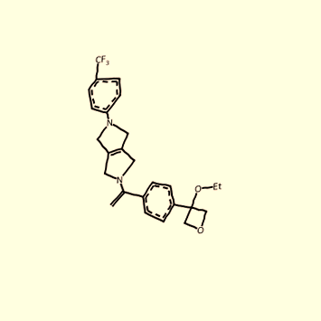 C=C(c1ccc(C2(OCC)COC2)cc1)N1CC2=C(C1)CN(c1ccc(C(F)(F)F)cc1)C2